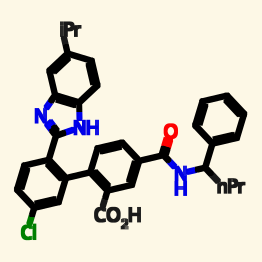 CCCC(NC(=O)c1ccc(-c2cc(Cl)ccc2-c2nc3cc(C(C)C)ccc3[nH]2)c(C(=O)O)c1)c1ccccc1